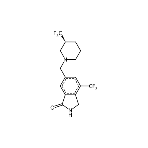 O=C1NCc2c1cc(CN1CCC[C@H](C(F)(F)F)C1)cc2C(F)(F)F